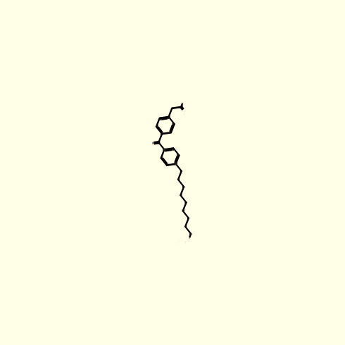 CCCCCCCCCCc1ccc(C(=O)c2ccc(CC(C)=O)cc2)cc1